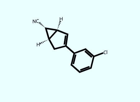 N#C[C@@H]1[C@H]2C=C(c3cccc(Cl)c3)C[C@@H]12